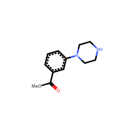 COC(=O)c1cccc(N2CCNCC2)c1